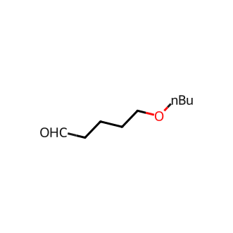 CCCCOCCCCC=O